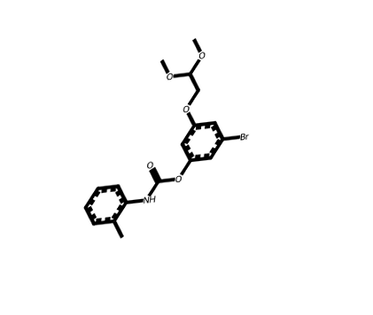 COC(COc1cc(Br)cc(OC(=O)Nc2ccccc2C)c1)OC